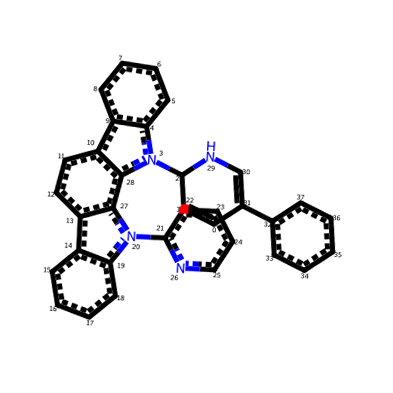 C1=CC(n2c3ccccc3c3ccc4c5ccccc5n(-c5ccccn5)c4c32)NC=C1c1ccccc1